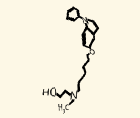 CCN(CCO)CCCCCCOc1ccc2c(ccn2-c2ccccc2)c1